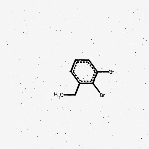 CCc1[c]ccc(Br)c1Br